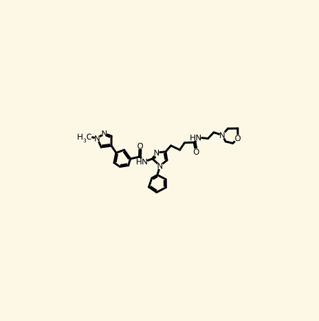 Cn1cc(-c2cccc(C(=O)Nc3nc(CCCC(=O)NCCN4CCOCC4)cn3-c3ccccc3)c2)cn1